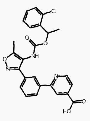 Cc1onc(-c2cccc(-c3cc(C(=O)O)ccn3)c2)c1NC(=O)OC(C)c1ccccc1Cl